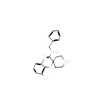 Clc1cccc2c1NC1(CCNCC1)C(NCc1ccccc1)=N2